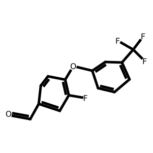 O=Cc1ccc(Oc2cccc(C(F)(F)F)c2)c(F)c1